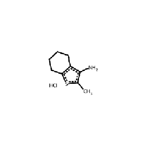 Cc1sc2c(c1N)CCCC2.Cl